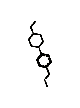 CC[C@H]1CC[C@@H](c2ccc(CSC)cc2)CC1